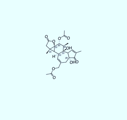 CC(=O)OCC1=C[C@H]2C3[C@]4(C)CC(=O)O[C@@]34[C@H](OC(C)=O)[C@@H](C)[C@]2(O)C2C=C(C)C(=O)[C@@]2(O)C1